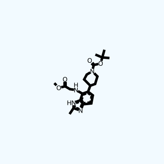 COC(=O)CNc1c(C2CCN(C(=O)OC(C)(C)C)CC2)ccc2nc(C)[nH]c12